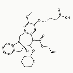 C=CCOC(=O)N1c2cc(OCCCC(=O)O)c(OC)cc2CN2c3ccccc3C[C@H]2C1OC1CCCCO1